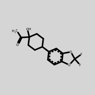 CC(=O)C1(O)CCC(c2ccc3c(c2)OC(F)(F)O3)CC1